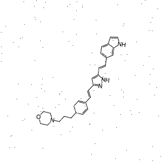 C1=CC(CCCN2CCOCC2)CC=C1/C=C/c1cc(/C=C/c2ccc3cc[nH]c3c2)[nH]n1